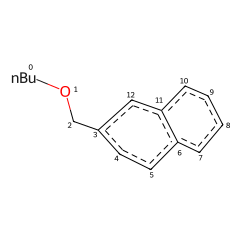 [CH2]CCCOCc1ccc2ccccc2c1